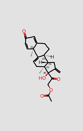 C=C1C[C@H]2[C@@H]3CCC4=CC(=O)C=C[C@]4(C)C3=CC[C@]2(C)[C@@]1(O)C(=O)COC(C)=O